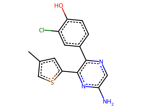 Cc1csc(-c2nc(N)cnc2-c2ccc(O)c(Cl)c2)c1